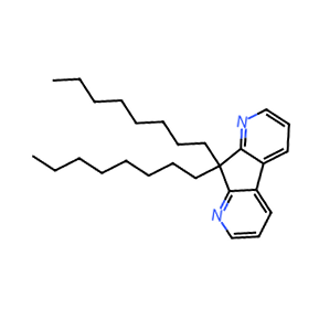 CCCCCCCCC1(CCCCCCCC)c2ncccc2-c2cccnc21